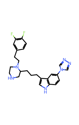 Fc1ccc(CCN2CCNCC2CCCc2c[nH]c3ccc(-n4cnnc4)cc23)cc1F